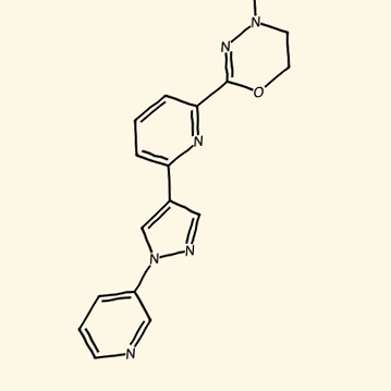 CN1CCOC(c2cccc(-c3cnn(-c4cccnc4)c3)n2)=N1